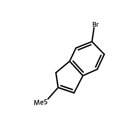 CSC1=Cc2ccc(Br)cc2C1